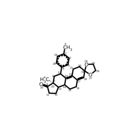 Cc1ccc(C2C[C@]3(C)C(=O)CCC3C3CCC4=CC5(CCC4=C23)OCCO5)cc1